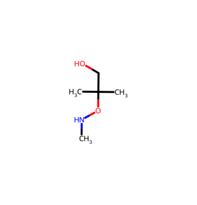 CNOC(C)(C)CO